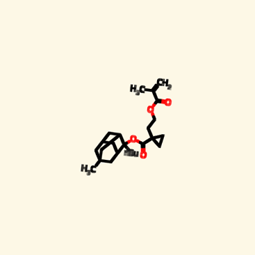 C=C(C)C(=O)OCCC1(C(=O)OC2(CCCC)C3CC4CC2CC(C)(C4)C3)CC1